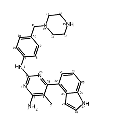 Cc1c(N)nc(Nc2ccc(CN3CCNCC3)cc2)nc1-c1cccc2[nH]ccc12